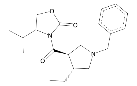 CC[C@H]1CN(Cc2ccccc2)C[C@@H]1C(=O)N1C(=O)OCC1C(C)C